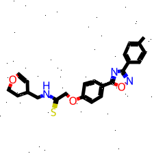 Cc1ccc(-c2noc(-c3ccc(OCC(=S)NCC4C=COCC4)cc3)n2)cc1